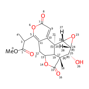 COC(=O)C(C)c1oc(=O)cc2c1CC1OC(=O)[C@]3(C)C1[C@]2(C)[C@@H]1O[C@@H]1[C@@H]3O